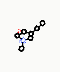 c1ccc(-c2ccc(-c3cccc(-c4ccc5oc6cccc(-c7nc(-c8ccccc8)nc(-c8ccccc8)n7)c6c5c4)c3)cc2)cc1